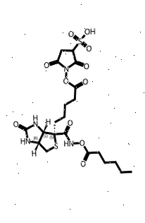 CCCCCC(=O)ONC(=O)[C@@]1(CCCCC(=O)ON2C(=O)CC(S(=O)(=O)O)C2=O)SC[C@@H]2NC(=O)N[C@@H]21